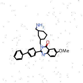 COc1ccc2nc(-c3ccc(-c4ccccc4)cc3)n(CC3CCCC(CN)C3)c(=O)c2c1